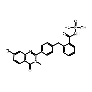 Cn1c(-c2ccc(Cc3ccccc3C(=O)NP(=O)(O)O)cc2)nc2cc(Cl)ccc2c1=O